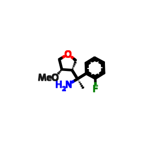 CO[C@@H]1COC[C@@H]1[C@](C)(N)c1ccccc1F